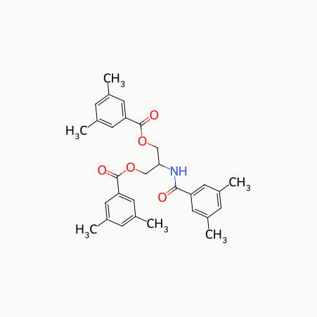 Cc1cc(C)cc(C(=O)NC(COC(=O)c2cc(C)cc(C)c2)COC(=O)c2cc(C)cc(C)c2)c1